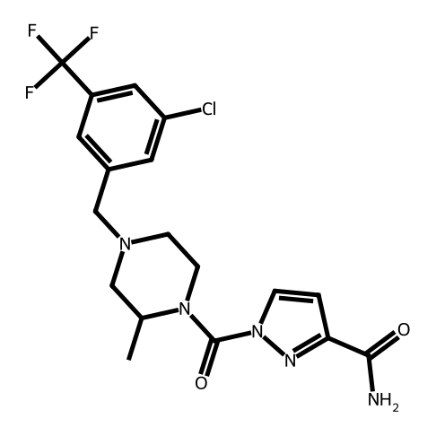 CC1CN(Cc2cc(Cl)cc(C(F)(F)F)c2)CCN1C(=O)n1ccc(C(N)=O)n1